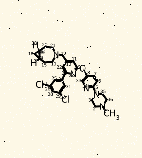 CN1CCN(c2ccc(Oc3cc(CN4CC[C@@H]5C[C@@H]5CC4)cc(-c4cc(Cl)cc(Cl)c4)n3)cn2)CC1